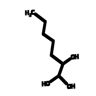 CCCCCC(O)C(O)O